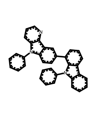 c1ccc(-n2c3ccc(-c4cccc5c6ccccc6n(-c6ccccc6)c45)cc3c3ncccc32)cc1